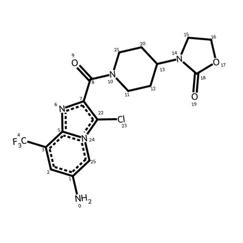 Nc1cc(C(F)(F)F)c2nc(C(=O)N3CCC(N4CCOC4=O)CC3)c(Cl)n2c1